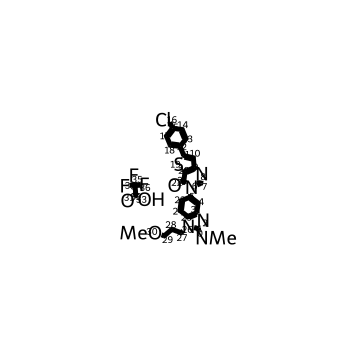 CNc1nc2cc(-n3cnc4cc(-c5ccc(Cl)cc5)sc4c3=O)ccc2n1CCCOC.O=C(O)C(F)(F)F